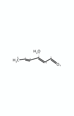 CC=CC=CC=O.O